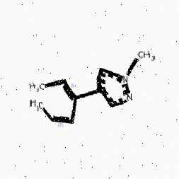 C/C=C\C(=C/C)c1cnn(C)c1